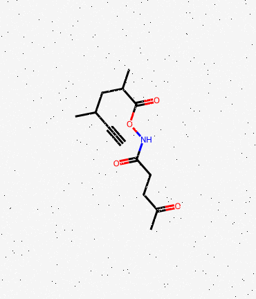 C#CC(C)CC(C)C(=O)ONC(=O)CCC(C)=O